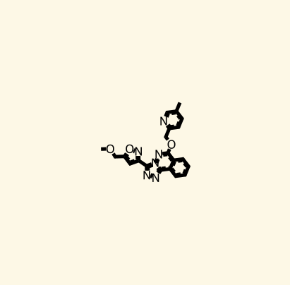 COCc1cc(-c2nnc3c4ccccc4c(OCc4ccc(C)cn4)nn23)no1